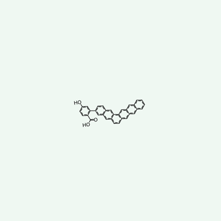 O=C(O)c1ccc(O)cc1-c1ccc2cc3c(ccc4cc5cc6ccccc6cc5cc43)cc2c1